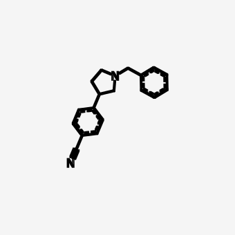 N#Cc1ccc(C2CCN(Cc3ccccc3)C2)cc1